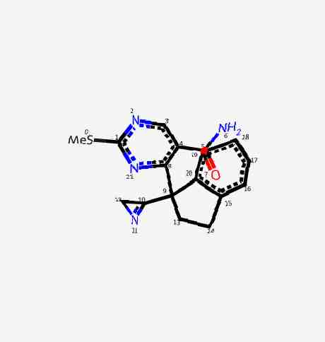 CSc1ncc(C(N)=O)c(C2(C3=NC3)CCc3ccccc32)n1